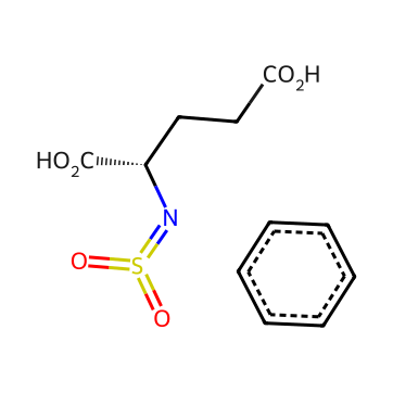 O=C(O)CC[C@H](N=S(=O)=O)C(=O)O.c1ccccc1